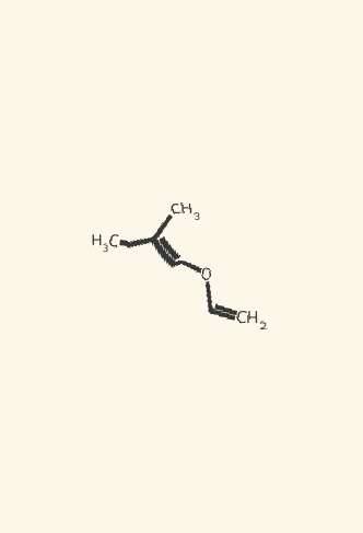 C=COC=C(C)C